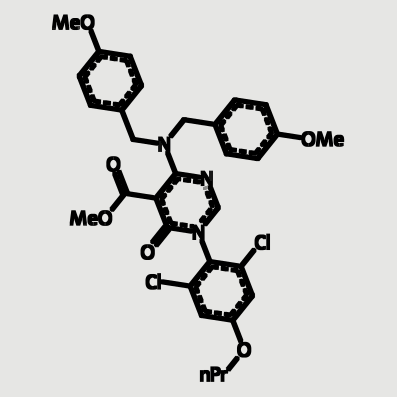 CCCOc1cc(Cl)c(-n2cnc(N(Cc3ccc(OC)cc3)Cc3ccc(OC)cc3)c(C(=O)OC)c2=O)c(Cl)c1